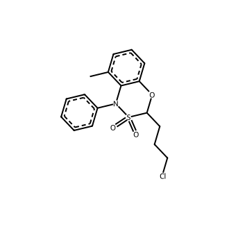 Cc1cccc2c1N(c1ccccc1)S(=O)(=O)C(CCCCl)O2